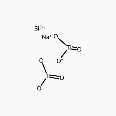 [Bi+3].[Na+].[O]=[Ti]([O-])[O-].[O]=[Ti]([O-])[O-]